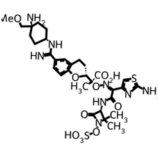 COC[C@]1(N)CC[C@H](NC(=N)c2ccc3c(c2)CC[C@H]([C@](C)(O/N=C(\C(=O)N[C@@H]2C(=O)N(OS(=O)(=O)O)C2(C)C)c2csc(N)n2)C(=O)O)O3)CC1